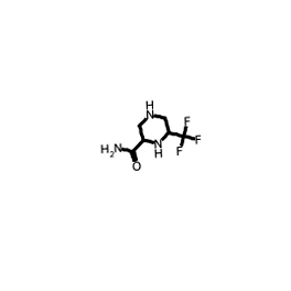 NC(=O)C1CNCC(C(F)(F)F)N1